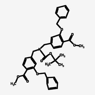 COC(=O)c1ccc(CN(Cc2ccc(C(=O)OC)c(OCc3ccccc3)c2)C(=O)OC(C)(C)C)cc1OCc1ccccc1